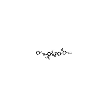 COc1cc(CO)ccc1-c1ccc(C(=O)NS(=O)(=O)c2ccc(NCCSc3ccccc3)c([N+](=O)[O-])c2)cc1